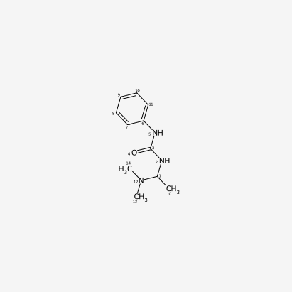 CC(NC(=O)Nc1[c]cccc1)N(C)C